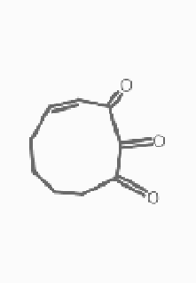 O=C1C=CCCCCC(=O)C1=O